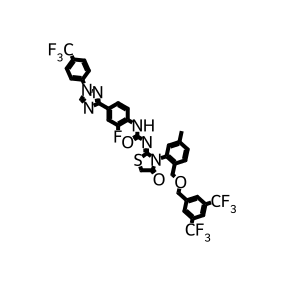 Cc1ccc(COCc2cc(C(F)(F)F)cc(C(F)(F)F)c2)c(N2C(=O)CS/C2=N\C(=O)Nc2ccc(-c3ncn(-c4ccc(C(F)(F)F)cc4)n3)cc2F)c1